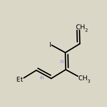 C=C/C(I)=C(C)/C=C/CC